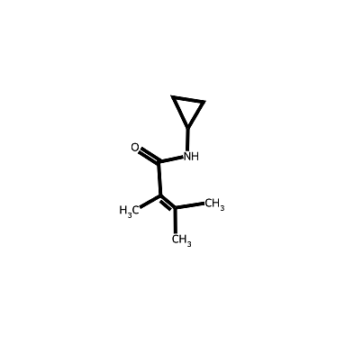 CC(C)=C(C)C(=O)NC1CC1